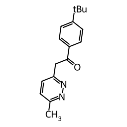 Cc1ccc(CC(=O)c2ccc(C(C)(C)C)cc2)nn1